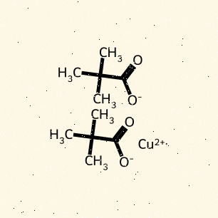 CC(C)(C)C(=O)[O-].CC(C)(C)C(=O)[O-].[Cu+2]